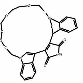 O=C1NC(=O)C2=C1c1cn(c3ccccc13)CCOCCOCCOCCN1CC2c2ccccc21